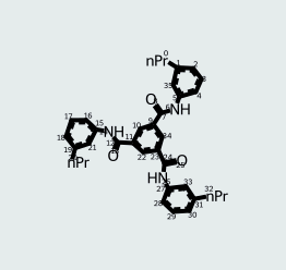 CCCc1cccc(NC(=O)c2cc(C(=O)Nc3cccc(CCC)c3)cc(C(=O)Nc3cccc(CCC)c3)c2)c1